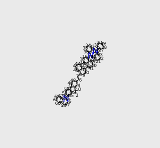 CC1(C)C2=CC(/C=C/C3C=Cc4c5c(c6ccc(N7c8ccccc8N(c8ccccc8)c8ccccc87)c7cccc4c76)=CC=CC53)CC=C2c2ccc(N3CCCc4ccccc43)cc21